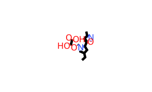 CCC1CC(c2cc(C)no2)N(C)C1.O=C(O)C(=O)O